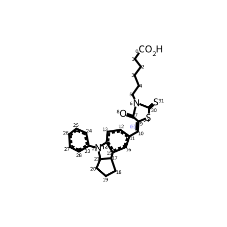 O=C(O)CCCCCN1C(=O)/C(=C\c2ccc3c(c2)C2CCCC2N3c2ccccc2)SC1=S